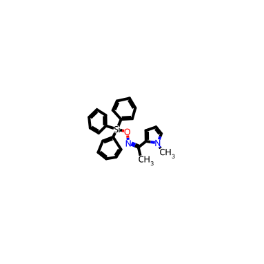 CC(=NO[Si](c1ccccc1)(c1ccccc1)c1ccccc1)c1cccn1C